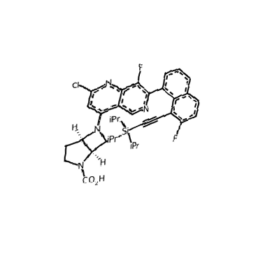 CC(C)[Si](C#Cc1c(F)ccc2cccc(-c3ncc4c(N5C[C@@H]6[C@H]5CCN6C(=O)O)cc(Cl)nc4c3F)c12)(C(C)C)C(C)C